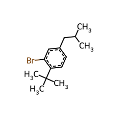 CC(C)Cc1ccc(C(C)(C)C)c(Br)c1